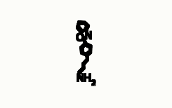 NCCCCc1ccc(-c2nc3ccccc3o2)cc1